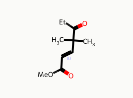 CCC(=O)C(C)(C)/C=C/C(=O)OC